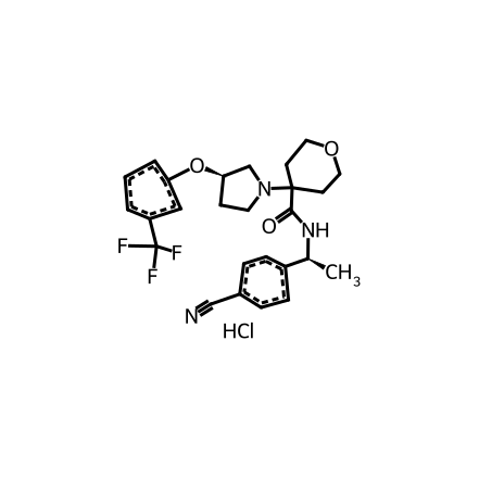 C[C@H](NC(=O)C1(N2CC[C@@H](Oc3cccc(C(F)(F)F)c3)C2)CCOCC1)c1ccc(C#N)cc1.Cl